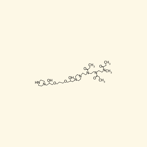 CCC(=O)N(C)CCN(CCN(CCN1CCN(CC(O)COCCCOCC(O)CN2CCNCC2)CC1)C(=O)CC)C(=O)CC